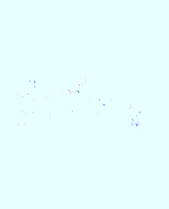 COc1ccc2nccc(C(F)CC[C@@H]3CCN(CCSc4cccn4C)C[C@@H]3C(=O)O)c2c1